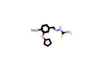 COc1ccc(/C=N/NC(N)=S)cc1OC1CCCC1